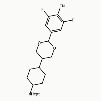 CCCCCCCC1CCC(C2COC(c3cc(F)c(C#N)c(F)c3)OC2)CC1